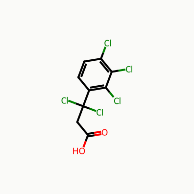 O=C(O)CC(Cl)(Cl)c1ccc(Cl)c(Cl)c1Cl